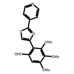 COc1cc(C=O)c(-c2csc(-c3ccncc3)n2)c(OC)c1OC